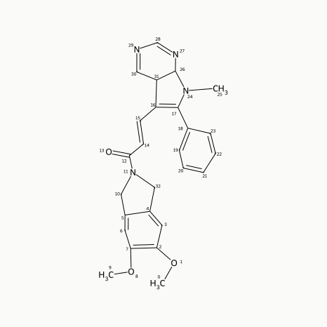 COc1cc2c(cc1OC)CN(C(=O)/C=C/C1=C(c3ccccc3)N(C)C3N=CN=CC13)C2